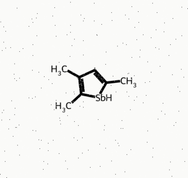 C[C]1=[C]C(C)=[C](C)[SbH]1